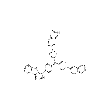 c1cnc2sc3c(-c4ccc(N(c5ccc(-c6ccc7cnncc7c6)cc5)c5ccc(-c6ccc7cnncc7c6)cc5)cc4)ncnc3c2c1